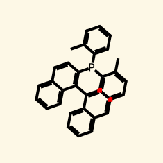 Cc1ccccc1P(c1ccccc1C)c1ccc2ccccc2c1-c1cccc2ccccc12